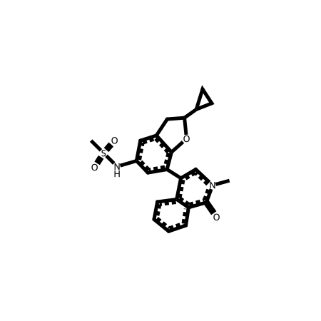 Cn1cc(-c2cc(NS(C)(=O)=O)cc3c2OC(C2CC2)C3)c2ccccc2c1=O